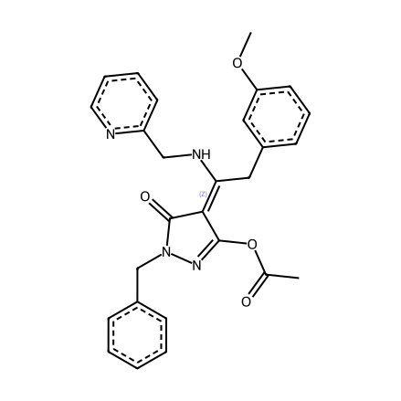 COc1cccc(C/C(NCc2ccccn2)=C2/C(=O)N(Cc3ccccc3)N=C2OC(C)=O)c1